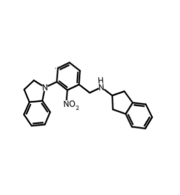 O=[N+]([O-])c1c(N2CCc3ccccc32)[c]ccc1CNC1Cc2ccccc2C1